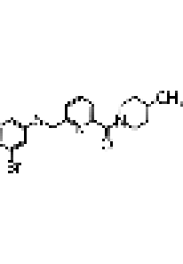 CC1CCN(C(=O)c2cccc(CSc3cccc(Br)c3)n2)CC1